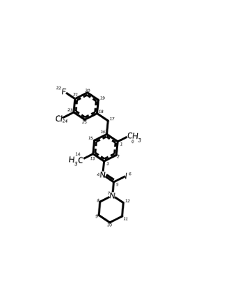 Cc1cc(N=C(I)N2CCCCC2)c(C)cc1Cc1ccc(F)c(Cl)c1